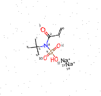 C=CC(=O)N(C(C)(C)C)S(=O)(=O)O.[Na+].[Na+]